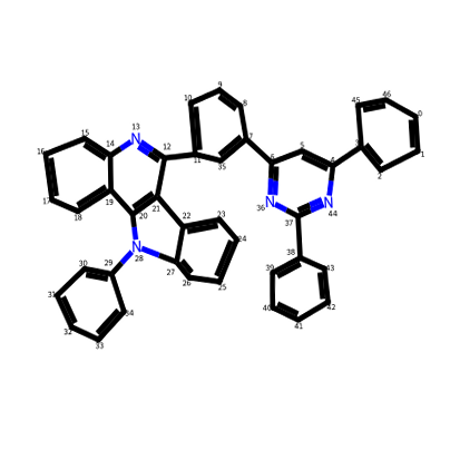 c1ccc(-c2cc(-c3cccc(-c4nc5ccccc5c5c4c4ccccc4n5-c4ccccc4)c3)nc(-c3ccccc3)n2)cc1